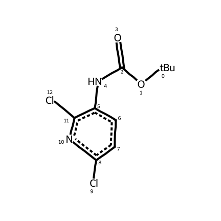 CC(C)(C)OC(=O)Nc1ccc(Cl)nc1Cl